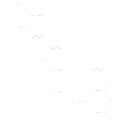 COc1ccc(C(=O)N[C@H]2CC[C@@H](N(C)c3cc(C(F)(F)F)nc4ccccc34)CC2)cc1F